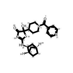 CC1(C2CCN(C(=O)c3ccncc3)CC2)SC(N[C@H]2C[C@H]3CC[C@H]2C3)=NC1=O